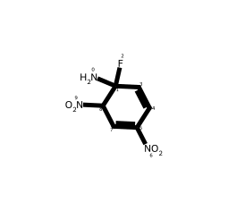 NC1(F)C=CC([N+](=O)[O-])=CC1[N+](=O)[O-]